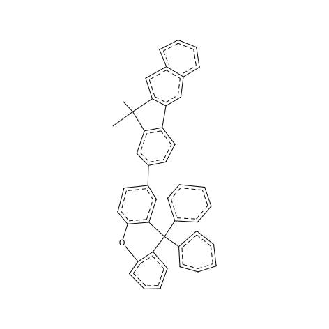 CC1(C)c2cc(-c3ccc4c(c3)C(c3ccccc3)(c3ccccc3)c3ccccc3O4)ccc2-c2cc3ccccc3cc21